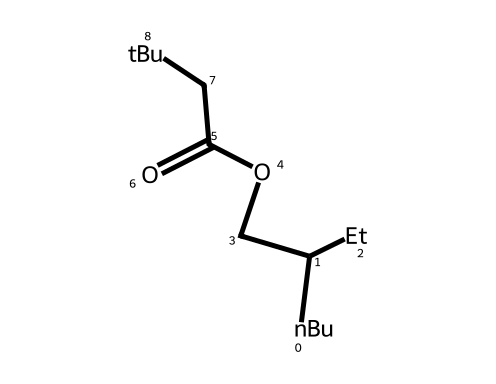 CCCCC(CC)COC(=O)CC(C)(C)C